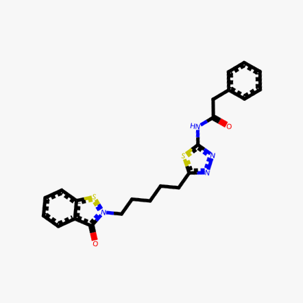 O=C(Cc1ccccc1)Nc1nnc(CCCCCn2sc3ccccc3c2=O)s1